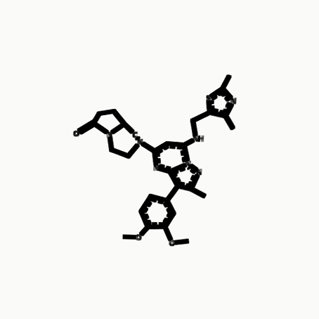 COc1ccc(-c2c(C)nn3c(NCc4sc(C)nc4C)cc(N4CCN5C(=O)CCC5C4)nc23)cc1OC